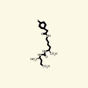 O=C(O)CC[C@H](NC(=O)N[C@@H](CCCCNC(=O)Cc1ccc(I)cc1)C(=O)O)C(=O)O